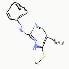 N#CSc1nc(Nc2ccccc2)ncc1[N+](=O)[O-]